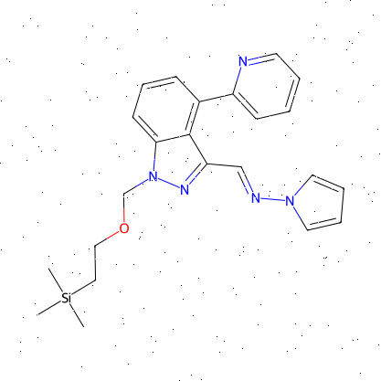 C[Si](C)(C)CCOCn1nc(C=Nn2cccc2)c2c(-c3ccccn3)cccc21